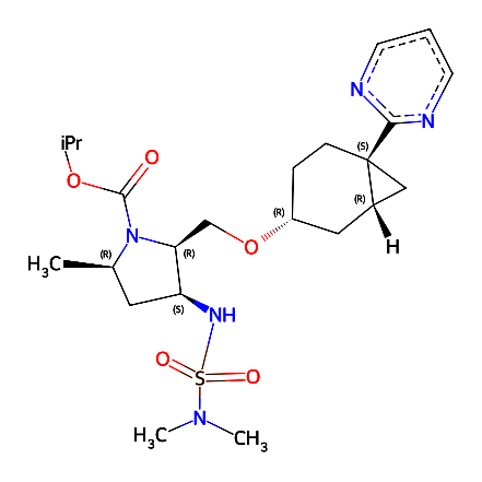 CC(C)OC(=O)N1[C@H](C)C[C@H](NS(=O)(=O)N(C)C)[C@@H]1CO[C@@H]1CC[C@]2(c3ncccn3)C[C@@H]2C1